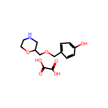 O=C(O)C(=O)O.Oc1ccc(COCC2CNCCO2)cc1